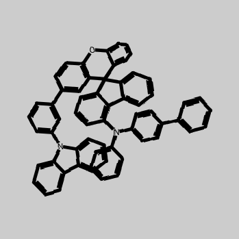 c1ccc(-c2ccc(N(c3ccccc3)c3cccc4c3-c3ccccc3C43c4ccccc4Oc4ccc(-c5cccc(-n6c7ccccc7c7ccccc76)c5)cc43)cc2)cc1